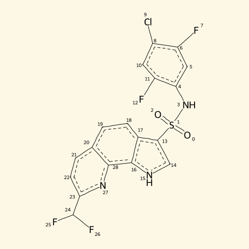 O=S(=O)(Nc1cc(F)c(Cl)cc1F)c1c[nH]c2c1ccc1ccc(C(F)F)nc12